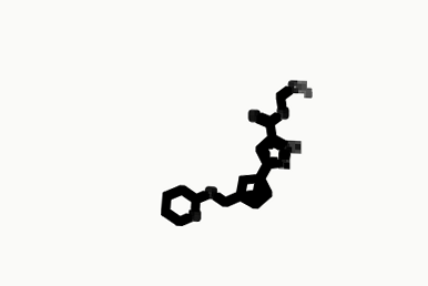 CCOC(=O)c1cc(C23CCC(COC4CCCCO4)(C2)C3)n[nH]1